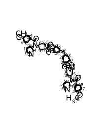 COc1ccc(C(=O)N(c2cccnc2)C2CCN(S(=O)(=O)c3ccc(Cc4ccc(S(=O)(=O)N5CCC(N(C(=O)c6ccc(OC)cc6)c6cccnc6)CC5)cc4)cc3)CC2)cc1